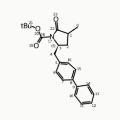 CC1C[C@@H](Cc2ccc(-c3ccccc3)cc2)N(C(=O)OC(C)(C)C)C1=O